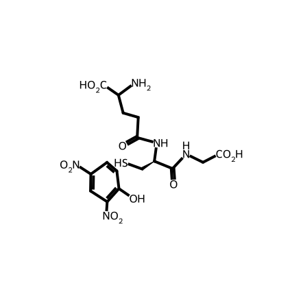 NC(CCC(=O)N[C@H](CS)C(=O)NCC(=O)O)C(=O)O.O=[N+]([O-])c1ccc(O)c([N+](=O)[O-])c1